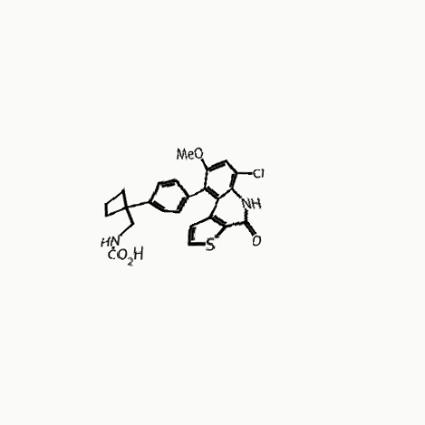 COc1cc(Cl)c2[nH]c(=O)c3sccc3c2c1-c1ccc(C2(CNC(=O)O)CCC2)cc1